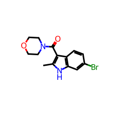 Cc1[nH]c2cc(Br)ccc2c1C(=O)N1CCOCC1